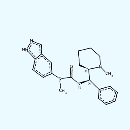 CN(C(=O)N[C@H](c1ccccc1)[C@H]1CCCCN1C)c1ccc2[nH]ncc2c1